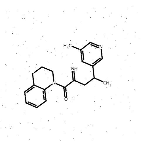 Cc1cncc(C(C)CC(=N)C(=O)N2CCCc3ccccc32)c1